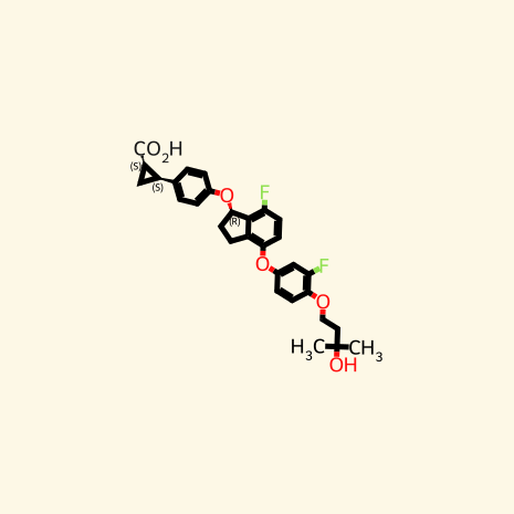 CC(C)(O)CCOc1ccc(Oc2ccc(F)c3c2CC[C@H]3Oc2ccc([C@H]3C[C@@H]3C(=O)O)cc2)cc1F